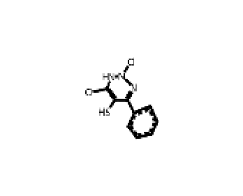 SC1=C(Cl)NN(Cl)N=C1c1ccccc1